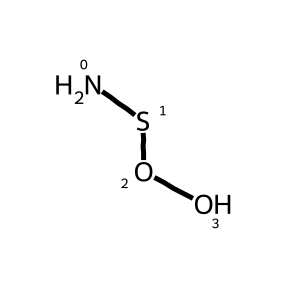 NSOO